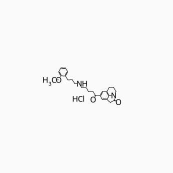 COc1ccccc1CCCNCCCCC(=O)c1cc2c3c(c1)CC(=O)N3CCC2.Cl